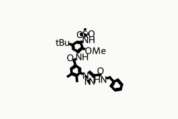 COc1c(NC(=O)c2cc(C)c(C)c(-n3cc(C(=O)NCc4ccccc4)nn3)c2)cc(C(C)(C)C)cc1NS(C)(=O)=O